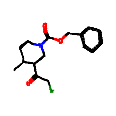 CC1CCN(C(=O)OCc2ccccc2)CC1C(=O)CBr